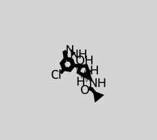 O=C(N[C@H]1[C@@H]2C[C@@](O)(c3cc(Cl)cc4cn[nH]c34)C[C@@H]21)C1CC1